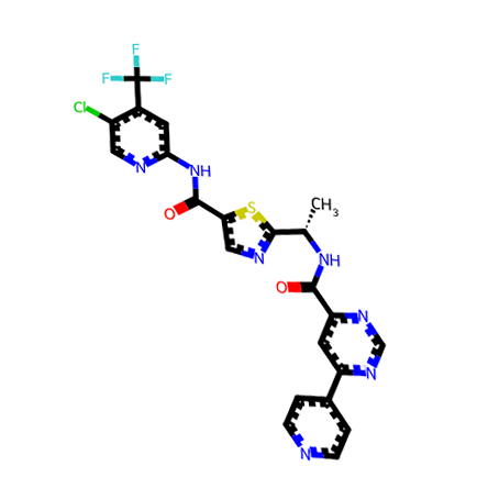 C[C@H](NC(=O)c1cc(-c2ccncc2)ncn1)c1ncc(C(=O)Nc2cc(C(F)(F)F)c(Cl)cn2)s1